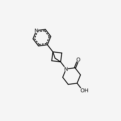 O=C1CC(O)CCN1C12CC(c3ccncc3)(C1)C2